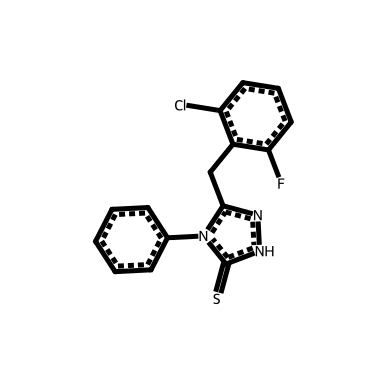 Fc1cccc(Cl)c1Cc1n[nH]c(=S)n1-c1ccccc1